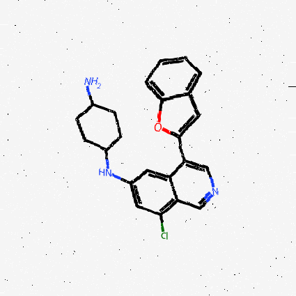 NC1CCC(Nc2cc(Cl)c3cncc(-c4cc5ccccc5o4)c3c2)CC1